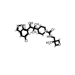 CC1(CNC(=O)N2CCC(C(C)(C)C(O)c3cc(Cl)cc4cn[nH]c34)CC2)COC1